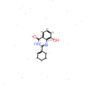 O=c1[nH]c(C2=CCCCC2)nc2c(O)cccc12